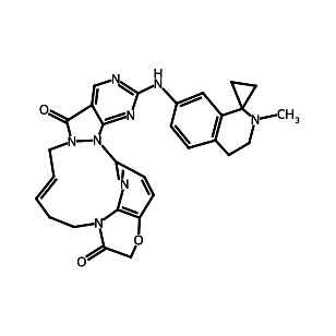 CN1CCc2ccc(Nc3ncc4c(=O)n5n(c4n3)-c3ccc4c(n3)N(CC/C=C/C5)C(=O)CO4)cc2C12CC2